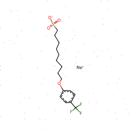 O=S(=O)([O-])CCCCCCCCCOc1ccc(C(F)(F)F)cc1.[Na+]